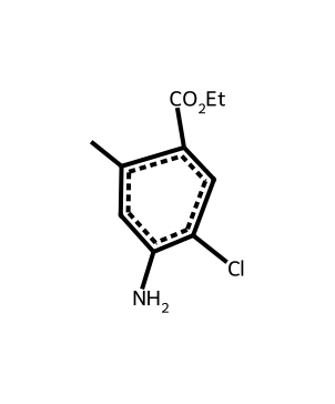 CCOC(=O)c1cc(Cl)c(N)cc1C